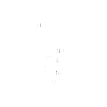 O=C(Nc1ccc(Cl)cc1)[C@H]1CCCN1C(=O)O